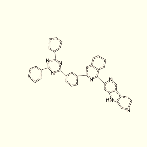 c1ccc(-c2nc(-c3ccccc3)nc(-c3cccc(-c4cc5ccccc5c(-c5cc6[nH]c7cnccc7c6cn5)n4)c3)n2)cc1